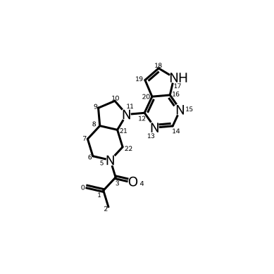 C=C(C)C(=O)N1CCC2CCN(c3ncnc4[nH]ccc34)C2C1